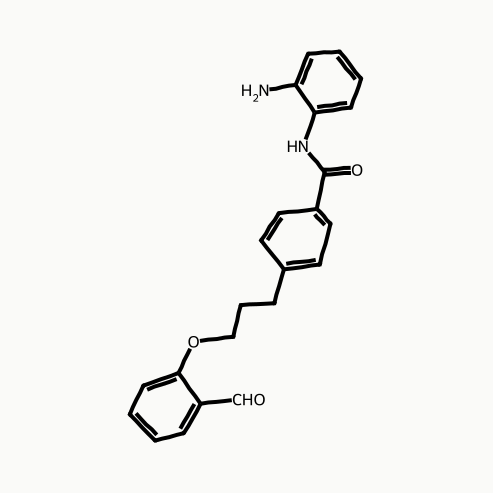 Nc1ccccc1NC(=O)c1ccc(CCCOc2ccccc2C=O)cc1